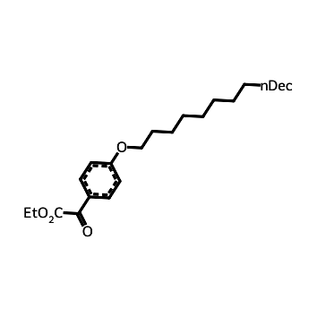 CCCCCCCCCCCCCCCCCCOc1ccc(C(=O)C(=O)OCC)cc1